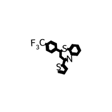 FC(F)(F)c1ccc(C2CC(c3cccs3)=Nc3ccccc3S2)cc1